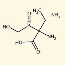 CCC(N)(C(=O)O)[PH](=O)CO.N